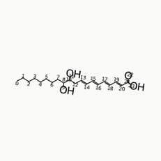 CCCCCCCCC(O)C(O)CC=CC=CC=CC=CC(=O)O